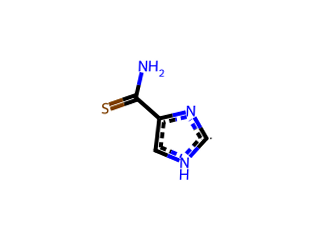 NC(=S)c1c[nH][c]n1